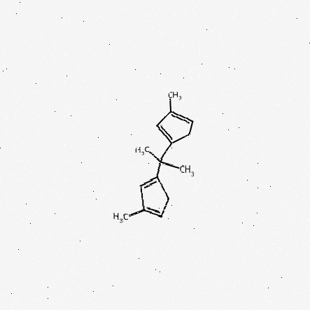 CC1=CCC(C(C)(C)C2=CC(C)=CC2)=C1